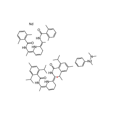 CC(NC(=O)c1c(C(C)C)cc(C)cc1C(C)C)=C1C=CCC(=C(C)NC(=O)c2c(C(C)C)cc(C)cc2C(C)C)N1.CC(NC(=O)c1c(C)cccc1C)=C1C=CCC(=C(C)NC(=O)c2c(C)cccc2C)N1.C[N](C)[Nd]([CH3])[c]1ccccc1.[Nd]